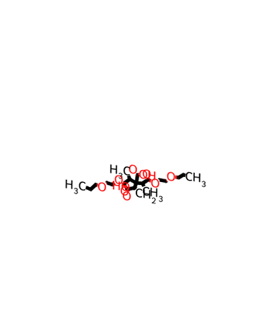 C=C(C(=O)O)C(C(=O)O)(C(C)C(=O)OCCOCCC)C(C)C(=O)OCCOCCC